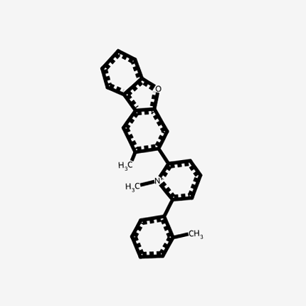 Cc1ccccc1-c1cccc(-c2cc3oc4ccccc4c3cc2C)[n+]1C